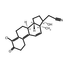 C[C@]12C=CC3=C4CCC(=O)C(Cl)=C4CC[C@H]3[C@@H]1CC[C@@]2(O)CC#N